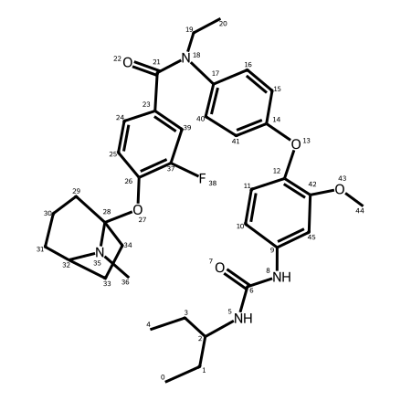 CCC(CC)NC(=O)Nc1ccc(Oc2ccc(N(CC)C(=O)c3ccc(OC45CCCC(CC4)N5C)c(F)c3)cc2)c(OC)c1